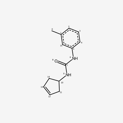 Cc1cccc(NC(=O)NC2CC=CC2)c1